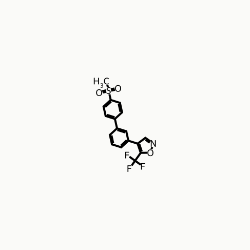 CS(=O)(=O)c1ccc(-c2cccc(-c3cnoc3C(F)(F)F)c2)cc1